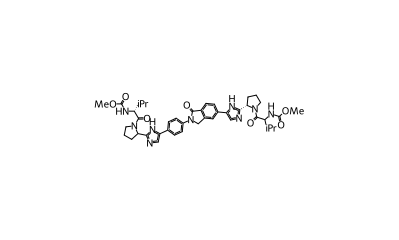 COC(=O)NC(C(=O)N1CCC[C@H]1c1ncc(-c2ccc3c(c2)CN(c2ccc(-c4cnc(C5CCCN5C(=O)[C@H](NC(=O)OC)C(C)C)[nH]4)cc2)C3=O)[nH]1)C(C)C